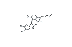 COc1ccc2c(c1)c(C=C1Oc3cc(O)c(Cl)cc3C1=O)c(C)n2CCCN(C)C